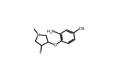 CN1CC(F)C(Oc2ccc(C#N)cc2N)C1